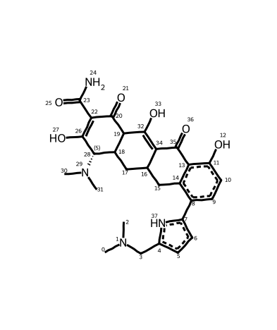 CN(C)Cc1ccc(-c2ccc(O)c3c2CC2CC4C(C(=O)C(C(N)=O)=C(O)[C@H]4N(C)C)C(O)=C2C3=O)[nH]1